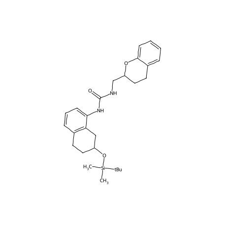 CC(C)(C)[Si](C)(C)OC1CCc2cccc(NC(=O)NCC3CCc4ccccc4O3)c2C1